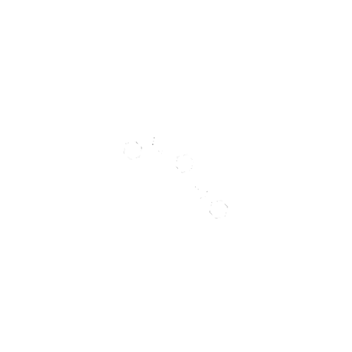 Cc1cccc(C(=O)NCc2ccc(CNS(=O)(=O)c3ccccc3)cc2)c1